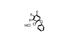 Cl.Fc1cc(Oc2ccccc2)c(Cl)c(F)c1F